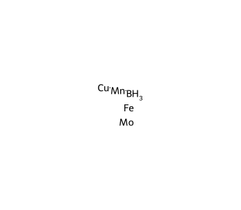 B.[Cu].[Fe].[Mn].[Mo]